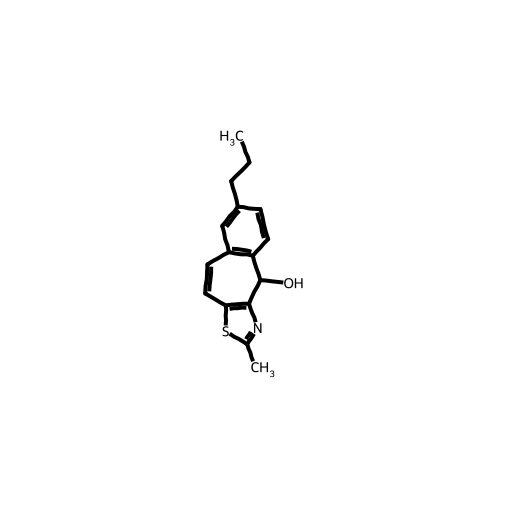 CCCc1ccc2c(c1)C=Cc1sc(C)nc1C2O